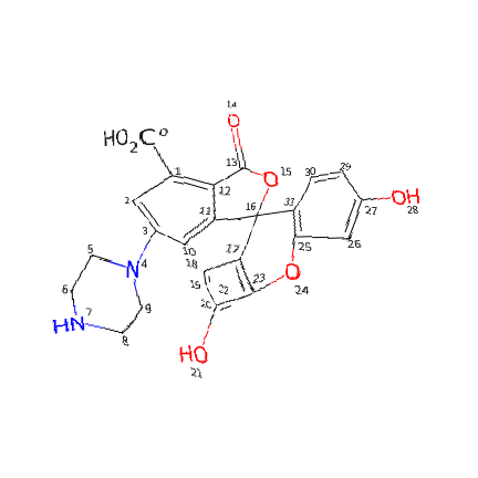 O=C(O)c1cc(N2CCNCC2)cc2c1C(=O)OC21c2ccc(O)cc2Oc2cc(O)ccc21